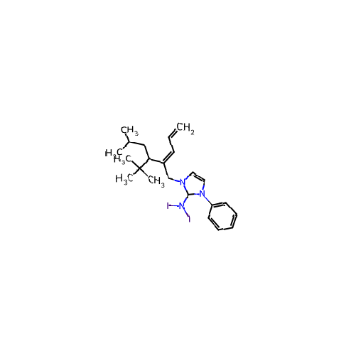 C=C/C=C(/CN1C=CN(c2ccccc2)C1N(I)I)C(CC(C)C)C(C)(C)C